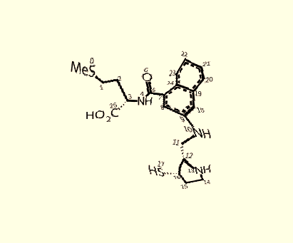 CSCC[C@H](NC(=O)c1cc(NC[C@@H]2NCC[C@@H]2S)cc2ccccc12)C(=O)O